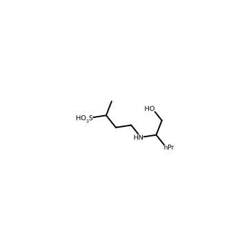 CCCC(CO)NCCC(C)S(=O)(=O)O